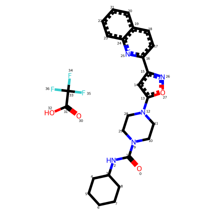 O=C(NC1CCCCC1)N1CCN(c2cc(-c3ccc4ccccc4n3)no2)CC1.O=C(O)C(F)(F)F